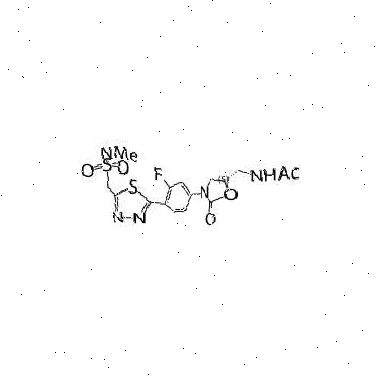 CNS(=O)(=O)Cc1nnc(-c2ccc(N3C[C@H](CNC(C)=O)OC3=O)cc2F)s1